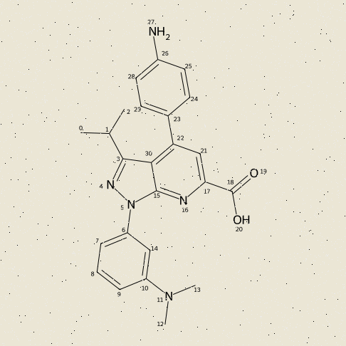 CC(C)c1nn(-c2cccc(N(C)C)c2)c2nc(C(=O)O)cc(-c3ccc(N)cc3)c12